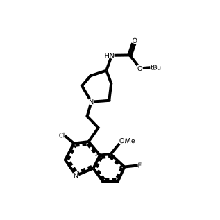 COc1c(F)ccc2ncc(Cl)c(CCN3CCC(NC(=O)OC(C)(C)C)CC3)c12